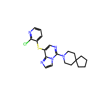 Clc1ncccc1Sc1cnc(N2CCC3(CCCC3)CC2)n2ccnc12